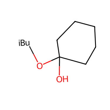 CCC(C)OC1(O)CCCCC1